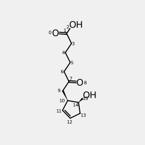 O=C(O)CCCCC(=O)C[C@@H]1C=CC[C@@H]1O